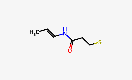 CC=CNC(=O)CC[S]